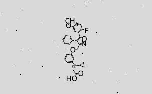 COc1ccc(F)c(-c2onc(COc3cccc([C@@H](CC(=O)O)C4CC4)c3)c2-c2ccccc2)c1